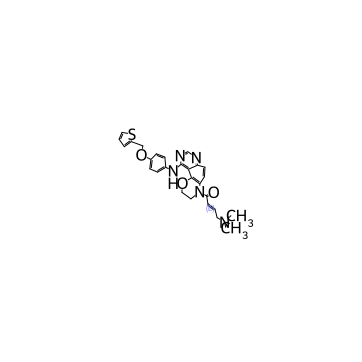 CN(C)C/C=C/C(=O)N1CCOc2c1ccc1ncnc(Nc3ccc(OCc4cccs4)cc3)c21